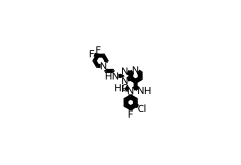 N=C(c1ccnc2nc(NCCN3CCC(F)(F)CC3)[nH]c12)N(O)c1ccc(F)c(Cl)c1